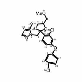 COCC1COC(Cn2ncnc2S)(c2ccc(Oc3ccc(Cl)cc3)cc2Cl)O1